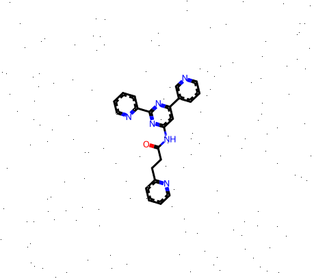 O=C(CCc1ccccn1)Nc1cc(-c2cccnc2)nc(-c2ccccn2)n1